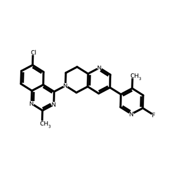 Cc1nc(N2CCc3ncc(-c4cnc(F)cc4C)cc3C2)c2cc(Cl)ccc2n1